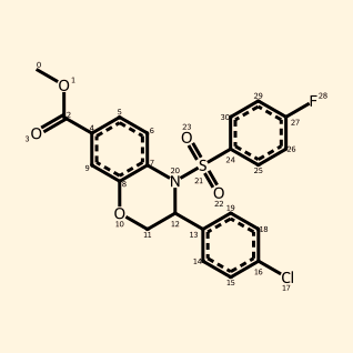 COC(=O)c1ccc2c(c1)OCC(c1ccc(Cl)cc1)N2S(=O)(=O)c1ccc(F)cc1